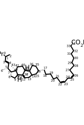 CC(C)[C@@H](C)C=C[C@@H](C)[C@H]1CC[C@H]2C3=CCC4C[C@@H](CCCCC/C=C\C/C=C\CCCCCCCC(=O)O)CC[C@]4(C)[C@H]3CC[C@]12C